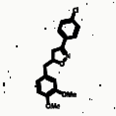 COc1ccc(CC2CC(c3ccc(Cl)cc3)=NO2)cc1OC